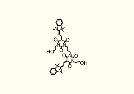 CN1/C(=C/C=C2\C(=O)N(CCO)C(=O)N(CCCN3C(=O)/C(=C/C=C4/N(C)c5ccccc5C4(C)C)C(=O)N(CCO)C3=O)C2=O)C(C)(C)c2ccccc21